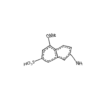 COc1cc(S(=O)(=O)O)cc2cc([NH])ccc12